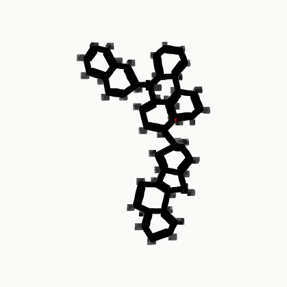 c1ccc(-c2ccccc2N(c2ccc(-c3ccc4sc5c6ccccc6ccc5c4c3)cc2)c2ccc3ccccc3c2)cc1